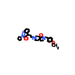 COc1ccc(CN2CCC3(CCN(CCC(C(=O)NC4CCCC4)c4ccccc4)CC3)C2=O)cc1